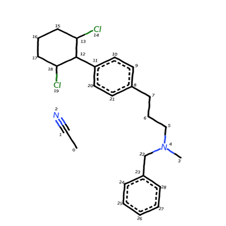 CC#N.CN(CCCc1ccc(C2C(Cl)CCCC2Cl)cc1)Cc1ccccc1